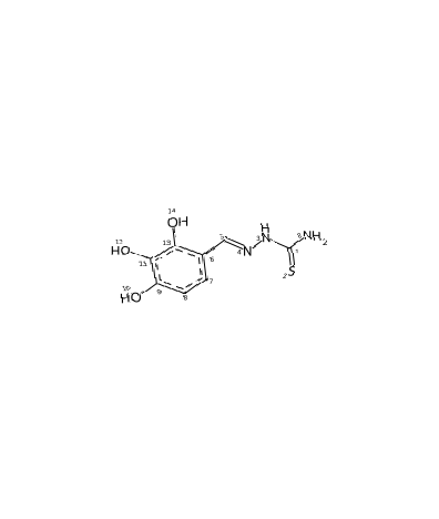 NC(=S)N/N=C/c1ccc(O)c(O)c1O